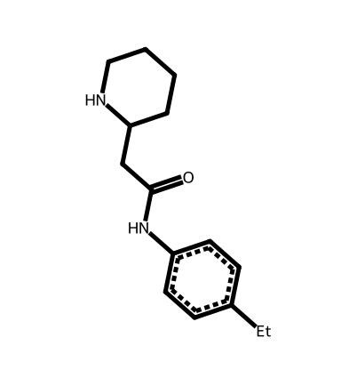 CCc1ccc(NC(=O)CC2CCCCN2)cc1